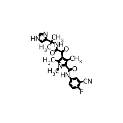 Cc1c(C(=O)C(=O)NC(C)(C)c2c[nH]cn2)c(C)n(C)c1C(=O)Nc1ccc(F)c(C#N)c1